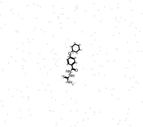 NC(=S)NNC(=O)c1ccc(OC2CCCCC2)cc1